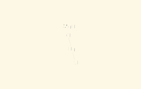 [Cl][Hg][Cl].[MgH2]